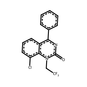 O=c1nc(-c2ccccc2)c2cccc(Cl)c2n1CC(F)(F)F